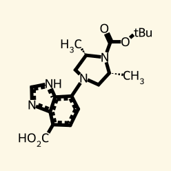 C[C@@H]1CN(c2ccc(C(=O)O)c3nc[nH]c23)C[C@H](C)N1C(=O)OC(C)(C)C